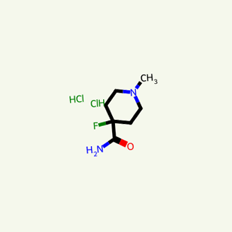 CN1CCC(F)(C(N)=O)CC1.Cl.Cl